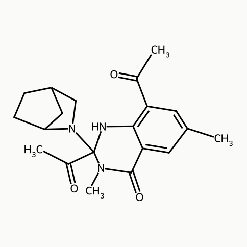 CC(=O)c1cc(C)cc2c1NC(C(C)=O)(N1CC3CCC1C3)N(C)C2=O